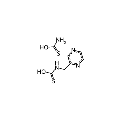 NC(O)=S.OC(=S)NCc1cnccn1